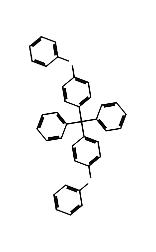 c1ccc(Oc2ccc(C(c3ccccc3)(c3ccccc3)c3ccc(Oc4ccccc4)cc3)cc2)cc1